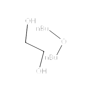 CCCCOCCCC.OCCO